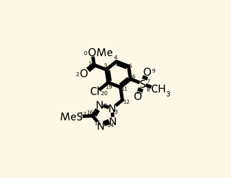 COC(=O)c1ccc(S(C)(=O)=O)c(Cn2nnc(SC)n2)c1Cl